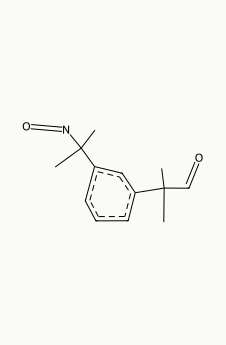 CC(C)(C=O)c1cccc(C(C)(C)N=O)c1